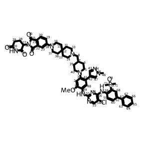 COc1cc(N2CCC(CN3CCC4(CC3)CCN(c3ccc5c(c3)C(=O)N(C3CCC(=O)NC3=O)C5=O)CC4)CC2)c(-c2cnn(C)c2)cc1Nc1ncc(Cl)c(Nc2ccc(-c3ccccc3)cc2P(C)(C)=O)n1